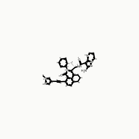 C[C@H](NC(=O)c1c(N)nn2cccnc12)c1c2c3c(ccc(C#Cc4cnn(C)c4)c3c(=O)n1-c1ccccc1)CCC2